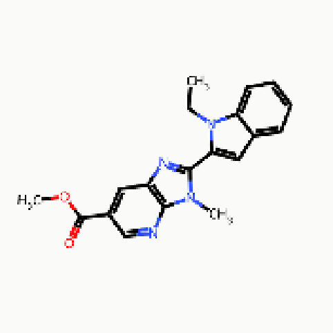 CCn1c(-c2nc3cc(C(=O)OC)cnc3n2C)cc2ccccc21